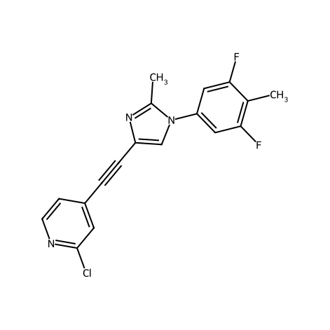 Cc1c(F)cc(-n2cc(C#Cc3ccnc(Cl)c3)nc2C)cc1F